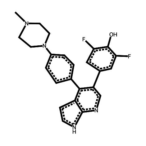 CN1CCN(c2ccc(-c3c(-c4cc(F)c(O)c(F)c4)cnc4[nH]ccc34)cc2)CC1